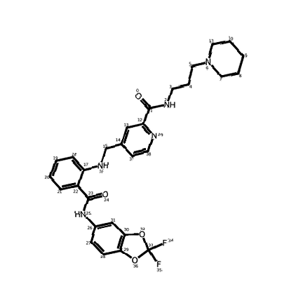 O=C(NCCCN1CCCCC1)c1cc(CNc2ccccc2C(=O)Nc2ccc3c(c2)OC(F)(F)O3)ccn1